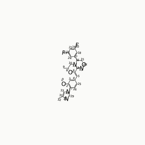 COc1cc(/C=C2\OC(C)CN3C2=NOCC3c2cc(F)cc(F)c2)ccc1-n1cnc(C)c1